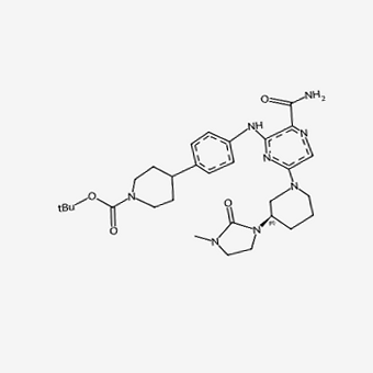 CN1CCN([C@@H]2CCCN(c3cnc(C(N)=O)c(Nc4ccc(C5CCN(C(=O)OC(C)(C)C)CC5)cc4)n3)C2)C1=O